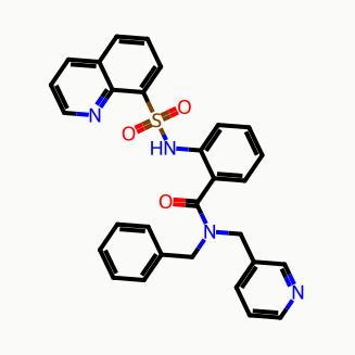 O=C(c1ccccc1NS(=O)(=O)c1cccc2cccnc12)N(Cc1ccccc1)Cc1cccnc1